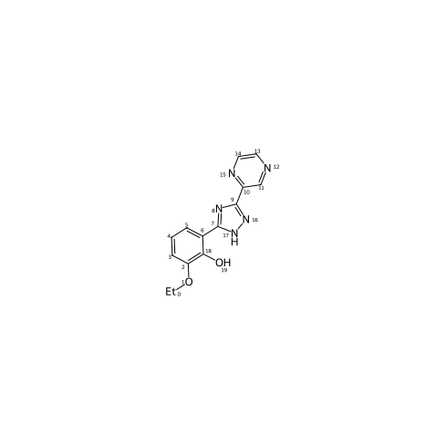 CCOc1cccc(-c2nc(-c3cnccn3)n[nH]2)c1O